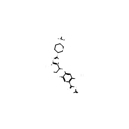 CCC(Oc1cc(OC)c(-c2noc(=O)[nH]2)cc1F)c1sc([C@H]2CC[C@H](C(F)(F)F)CC2)nc1C